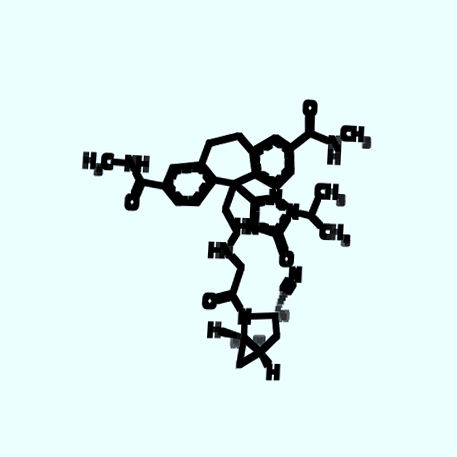 CNC(=O)c1ccc2c(c1)CCc1cc(C(=O)NC)ccc1C2(CCNCC(=O)N1[C@H](C#N)C[C@@H]2C[C@@H]21)c1nn(C(C)C)c(=O)[nH]1